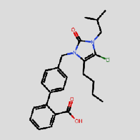 CCCCc1c(Cl)n(CC(C)C)c(=O)n1Cc1ccc(-c2ccccc2C(=O)O)cc1